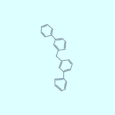 c1ccc(-c2cccc(Cc3cccc(-c4ccccc4)c3)c2)cc1